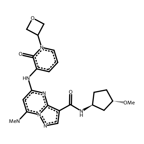 CNc1cc(Nc2cccn(C3COC3)c2=O)nc2c(C(=O)N[C@H]3CC[C@H](OC)C3)cnn12